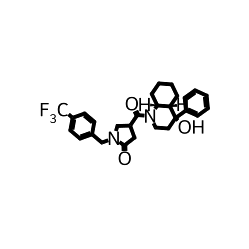 O=C1CC(C(=O)N2CCC(O)(c3ccccc3)[C@H]3CCCC[C@H]32)CN1Cc1ccc(C(F)(F)F)cc1